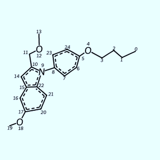 CCCCOc1ccc(-n2c(COC)cc3cc(OC)ccc32)cc1